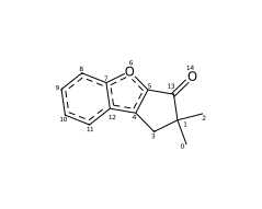 CC1(C)Cc2c(oc3ccccc23)C1=O